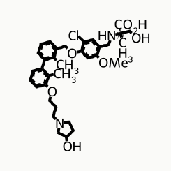 COc1cc(OCc2cccc(-c3cccc(OCCCN4CCC(O)C4)c3C)c2C)c(Cl)cc1CN[C@](C)(CO)C(=O)O